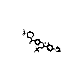 Cc1cc(-n2cccn2)ccc1C(CCC(F)(F)F)Nc1ccc(C(=O)N2CCC[C@@H](C(=O)O)C2)cc1